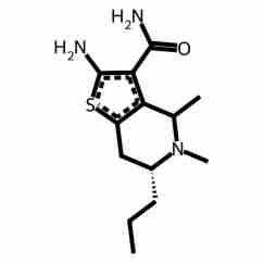 CCC[C@@H]1Cc2sc(N)c(C(N)=O)c2C(C)N1C